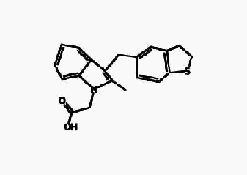 Cc1c(Cc2ccc3c(c2)CCS3)c2ccccc2n1CC(=O)O